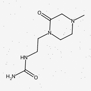 CN1CCN(CCNC(N)=O)C(=O)C1